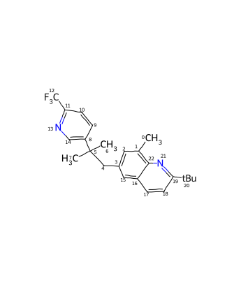 Cc1cc(CC(C)(C)c2ccc(C(F)(F)F)nc2)cc2ccc(C(C)(C)C)nc12